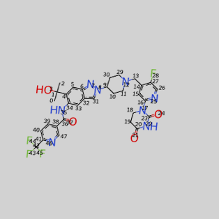 CC(C)(O)c1cc2nn(C3CCN(Cc4cc(N5CCC(=O)NC5=O)ncc4F)CC3)cc2cc1NC(=O)c1ccc(C(F)(F)F)nc1